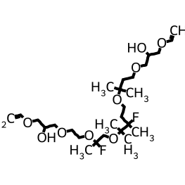 C=COCC(O)COCCOC(C)(F)COC(C)(C)C(C)(F)CCOC(C)(C)CCOCC(O)COC=C